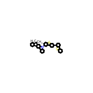 CC1(C)c2ccccc2-c2cc3c4ccccc4n(-c4ccc5sc6cc(-c7cccc8c7sc7ccccc78)ccc6c5c4)c3cc21